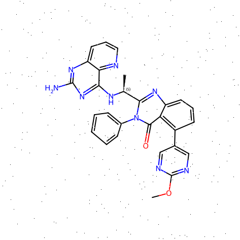 COc1ncc(-c2cccc3nc([C@H](C)Nc4nc(N)nc5cccnc45)n(-c4ccccc4)c(=O)c23)cn1